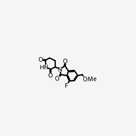 COCc1cc(F)c2c(c1)C(=O)N(C1CCC(=O)NC1=O)C2=O